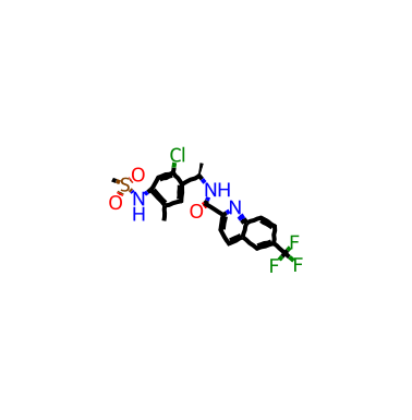 Cc1cc([C@@H](C)NC(=O)c2ccc3cc(C(F)(F)F)ccc3n2)c(Cl)cc1NS(C)(=O)=O